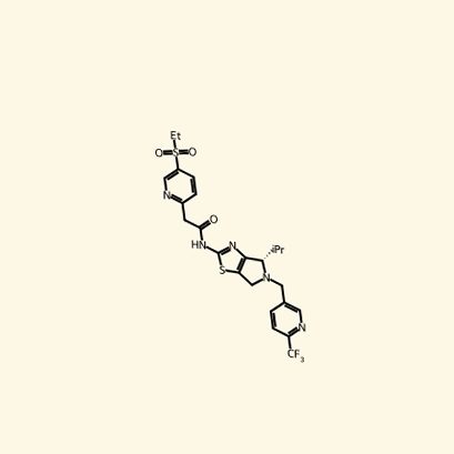 CCS(=O)(=O)c1ccc(CC(=O)Nc2nc3c(s2)CN(Cc2ccc(C(F)(F)F)nc2)[C@H]3C(C)C)nc1